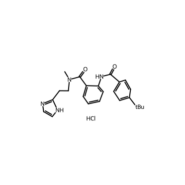 CN(CCc1ncc[nH]1)C(=O)c1ccccc1NC(=O)c1ccc(C(C)(C)C)cc1.Cl